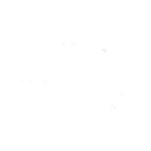 C=CCc1cnc(-c2cc(C(N)=O)ccn2)c(CC=C)c1C(N)=O